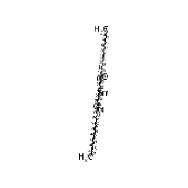 CCCCCCCCCCCCCCCCCC(=O)OCCC[CH2][Sn][CH2]CCCOC(=O)CCCCCCCCCCCCCCCCC